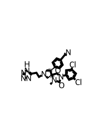 CN1C(=O)N(c2cc(Cl)cc(Cl)c2)C(=O)[C@]12CN(CCc1nnn[nH]1)C[C@H]2c1ccc(C#N)cc1